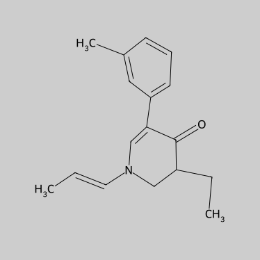 CC=CN1C=C(c2cccc(C)c2)C(=O)C(CC)C1